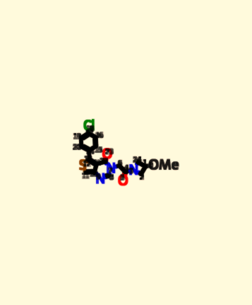 COC1CN(C(=O)Cn2cnc3csc(-c4ccc(Cl)cc4)c3c2=O)C1